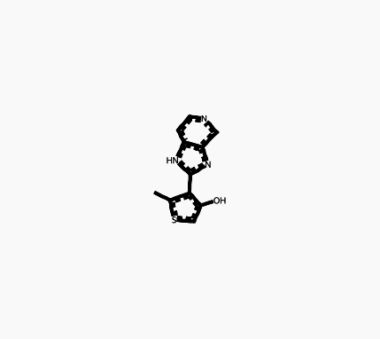 Cc1scc(O)c1-c1nc2cnccc2[nH]1